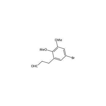 COc1cc(Br)cc(CCC=O)c1OC